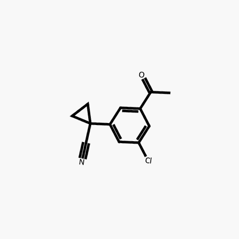 CC(=O)c1cc(Cl)cc(C2(C#N)CC2)c1